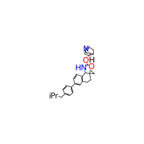 CC(C)Cc1ccc(-c2ccc3c(c2)CCC2(CC2)C3NC(=O)O[C@H]2CN3CCC2CC3)cc1